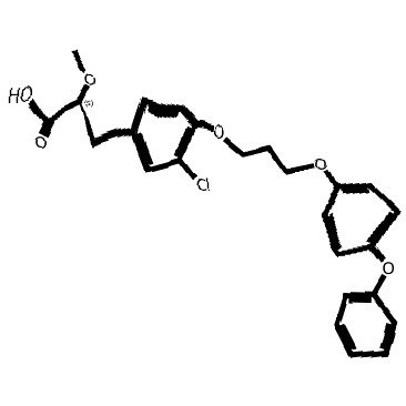 CO[C@@H](Cc1ccc(OCCCOc2ccc(Oc3ccccc3)cc2)c(Cl)c1)C(=O)O